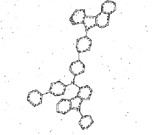 c1ccc2c3c4ccccc4ccc3n(-c3ccc(-c4ccc(N(c5ccc(-c6ccccc6)cc5)c5cccc6c5c5ccccc5n6-c5ccccc5)cc4)cc3)c2c#1